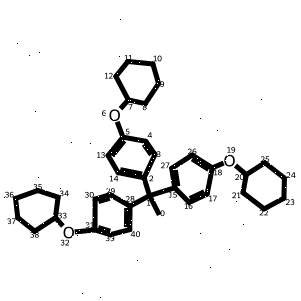 CC(c1ccc(OC2CCCCC2)cc1)(c1ccc(OC2CCCCC2)cc1)c1ccc(OC2CCCCC2)cc1